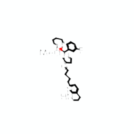 COC(=O)C(c1cc(F)ccc1[C@H]1CCCCO1)N1CC[C@@H](OCCCCc2ccc3c(n2)NCCC3)C1